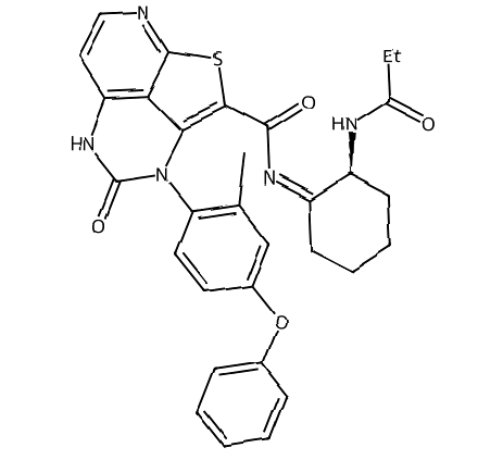 CCC(=O)N[C@H]1CCCCC1=NC(=O)c1sc2nccc3c2c1N(c1ccc(Oc2ccccc2)cc1C)C(=O)N3